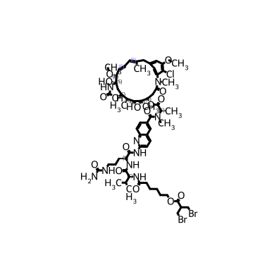 COc1cc2cc(c1Cl)N(C)C(=O)C[C@H](OC(=O)[C@H](C)N(C)C(=O)c1ccc3nc(NC(=O)[C@H](CCCNC(N)=O)NC(=O)[C@@H](NC(=O)CCCCCOC(=O)C(CBr)CBr)C(C)C)ccc3c1)[C@]1(C)O[C@H]1[C@H](C)[C@@H]1C[C@@](O)(NC(=O)O1)[C@H](OC)/C=C/C=C(\C)C2